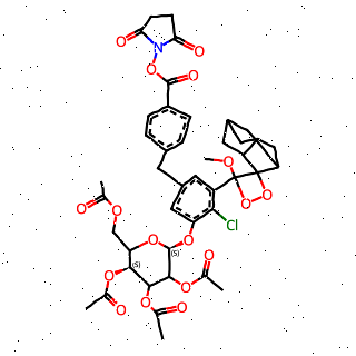 COC1(c2cc(Cc3ccc(C(=O)ON4C(=O)CCC4=O)cc3)cc(O[C@@H]3OC(COC(C)=O)[C@H](OC(C)=O)C(OC(C)=O)C3OC(C)=O)c2Cl)OOC12C1CC3CC(C1)C2C3